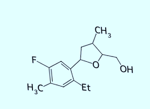 CCc1cc(C)c(F)cc1C1CC(C)C(CO)O1